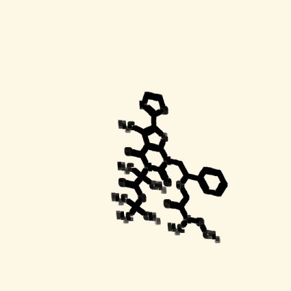 CON(C)C(=O)COC(Cn1c(=O)n(C(C)(C)C(=O)OC(C)(C)C)c(=O)c2c(C)c(-c3ncco3)sc21)c1ccccc1